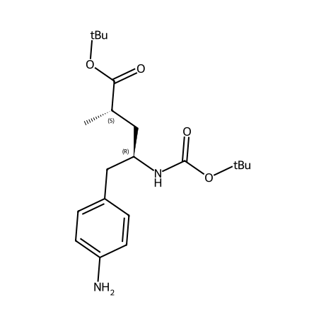 C[C@@H](C[C@H](Cc1ccc(N)cc1)NC(=O)OC(C)(C)C)C(=O)OC(C)(C)C